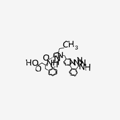 CCCc1cc(C(=O)NC(CC(=O)O)Cc2ccccc2Cl)nn1Cc1ccc(-c2ccccc2-c2nnn[nH]2)nc1